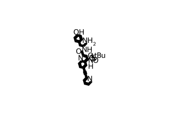 CC(C)(C)S(=O)(=O)Nc1cc(C(=O)NC(CN)Cc2ccc(O)cc2)nc2ccc(C#Cc3ccccn3)cc12